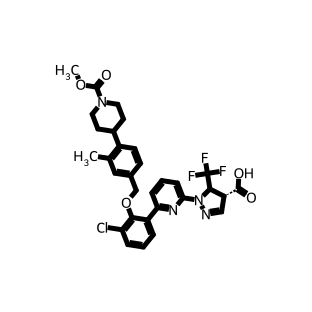 COC(=O)N1CCC(c2ccc(COc3c(Cl)cccc3-c3cccc(N4N=C[C@@H](C(=O)O)C4C(F)(F)F)n3)cc2C)CC1